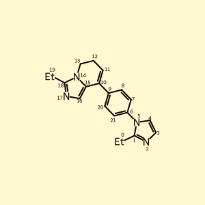 CCc1nccn1-c1ccc(C2=CCCn3c2cnc3CC)cc1